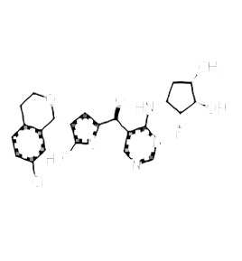 Cc1sc(C(=O)c2cncnc2N[C@@H]2C[C@@H](C)[C@@H](O)[C@@H]2F)cc1[C@H]1OCCc2ccc(Cl)cc21